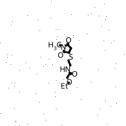 CCOCC(=O)NCCSC1CC(=O)N(C)C1=O